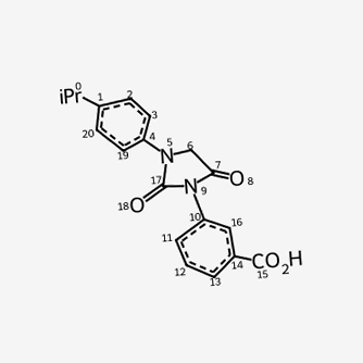 CC(C)c1ccc(N2CC(=O)N(c3cccc(C(=O)O)c3)C2=O)cc1